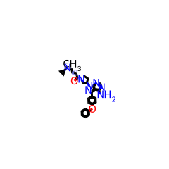 CN(C/C=C/C(=O)N1CCC(n2nc(-c3ccc(Oc4ccccc4)cc3)c3c(N)ncnc32)C1)C1CC1